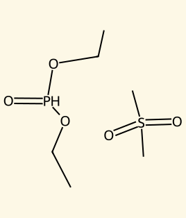 CCO[PH](=O)OCC.CS(C)(=O)=O